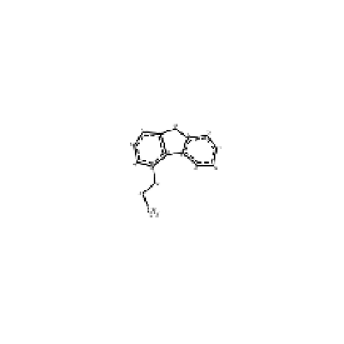 [CH2]CCc1cccc2c1-c1ccccc1C2